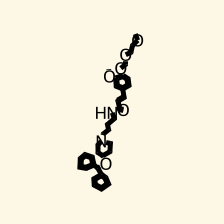 COCCOCOc1ccc(C=CC(=O)NCCCCN2CCC(OC(c3ccccc3)c3ccccc3)CC2)cc1OC